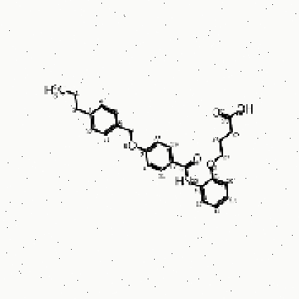 CCCc1ccc(COc2ccc(C(=O)Nc3ccccc3OCCCC(=O)O)cc2)cc1